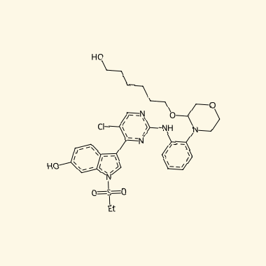 CCS(=O)(=O)n1cc(-c2nc(Nc3ccccc3N3CCOCC3OCCCCCCO)ncc2Cl)c2ccc(O)cc21